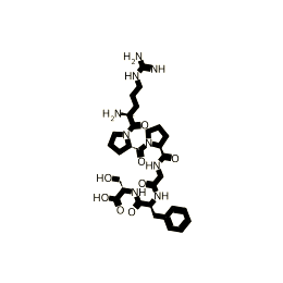 N=C(N)NCCC[C@H](N)C(=O)N1CCC[C@H]1C(=O)N1CCC[C@H]1C(=O)NCC(=O)N[C@@H](Cc1ccccc1)C(=O)N[C@@H](CO)C(=O)O